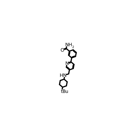 CC(C)(C)C1CCC(NCc2ccc(-c3cccc(C(N)=O)c3)nc2)CC1